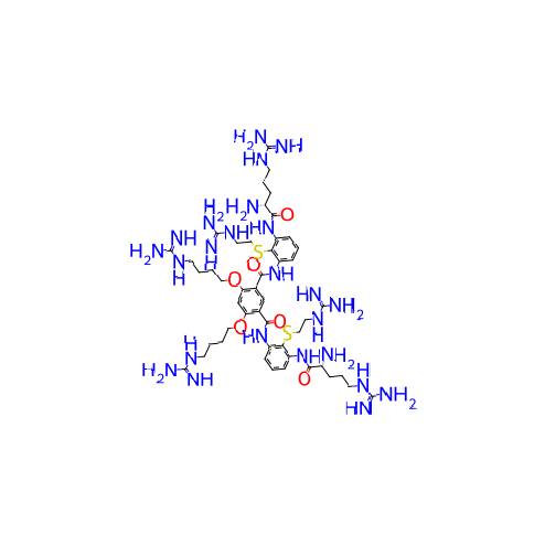 N=C(N)NCCCCOc1cc(OCCCCNC(=N)N)c(C(=O)Nc2cccc(NC(=O)[C@H](N)CCCNC(=N)N)c2SCCNC(=N)N)cc1C(=O)Nc1cccc(NC(=O)[C@H](N)CCCNC(=N)N)c1SCCNC(=N)N